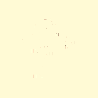 COC(=O)c1nc(C(=O)NC2(C)CCCC2)ccc1-c1cc2c(cc1C(=O)Nc1ccc(CN)cc1C)-c1sccc1CCO2